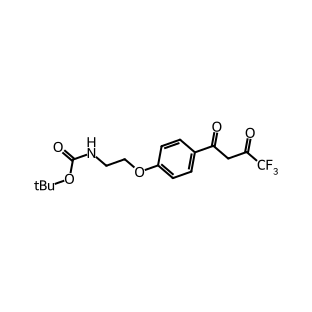 CC(C)(C)OC(=O)NCCOc1ccc(C(=O)CC(=O)C(F)(F)F)cc1